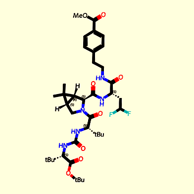 COC(=O)c1ccc(CCNC(=O)[C@H](CC(F)F)NC(=O)[C@@H]2[C@@H]3[C@H](CN2C(=O)[C@@H](NC(=O)N[C@H](C(=O)OC(C)(C)C)C(C)(C)C)C(C)(C)C)C3(C)C)cc1